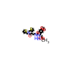 COC(=O)C[C@H](NC(=O)NCCCC(=O)N(Cc1cccs1)Cc1cccs1)c1ccc2c(c1)OCO2